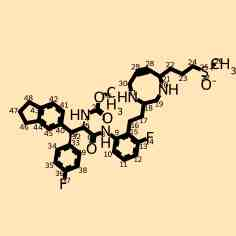 COC(=O)N[C@H](C(=O)Nc1cccc(F)c1CCC1CNC(CCC[S+](C)[O-])C#CCN1)[C@@H](c1ccc(F)cc1)c1ccc2c(c1)CCC2